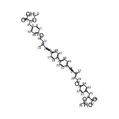 CCOC(Cc1ccc(OC/C=C(\C)C#Cc2ccc(-c3ccc(C#C/C(C)=C/COc4ccc(CC(OCC)C(=O)O)cc4)cc3)cc2)cc1)C(=O)O